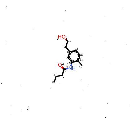 CCCC(=O)Nc1cc(CCO)ccc1C